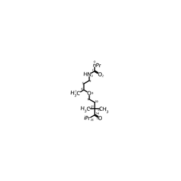 CCCC(=O)NCCC(C)OCCC(C)(C)C(=O)C(C)C